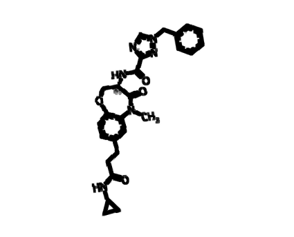 CN1C(=O)[C@H](NC(=O)c2ncn(Cc3ccccc3)n2)COc2ccc(CCC(=O)NC3CC3)cc21